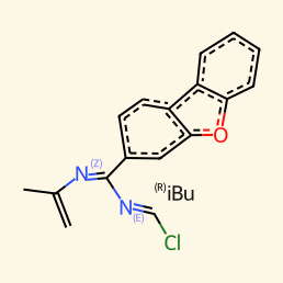 C=C(C)/N=C(\N=C(\Cl)[C@H](C)CC)c1ccc2c(c1)oc1ccccc12